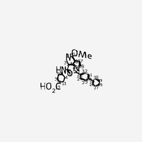 COc1ncc(C(=O)NC2CCC(C(=O)O)CC2)c2c1ccn2Cc1ccc(-c2ccccc2)cc1